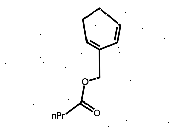 CCCC(=O)OCC1=CCCC=C1